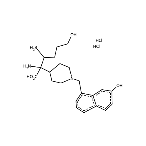 BC(CCCO)C(N)(C(=O)O)C1CCN(Cc2cccc3ccc(O)cc23)CC1.Cl.Cl